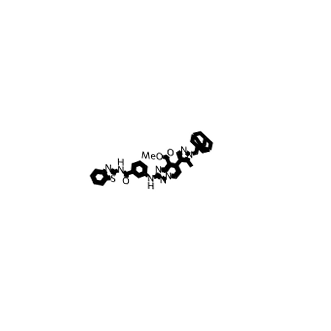 COC(=O)c1c(-c2cnn(CC34CC5CC(CC(C5)C3)C4)c2C)ccn2nc(Nc3cccc(C(=O)Nc4nc5ccccc5s4)c3)nc12